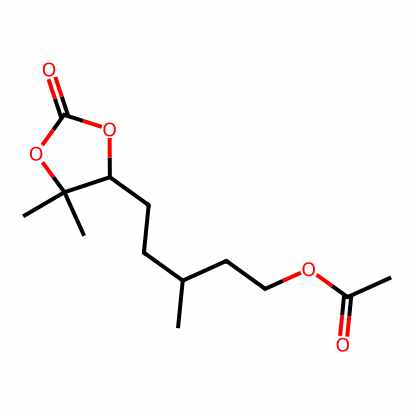 CC(=O)OCCC(C)CCC1OC(=O)OC1(C)C